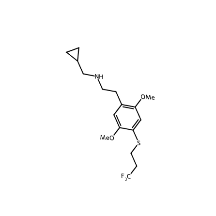 COc1cc(SCCC(F)(F)F)c(OC)cc1CCNCC1CC1